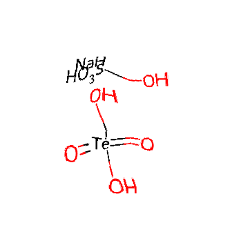 O=S(=O)(O)O.O=[Te](=O)(O)O.[NaH]